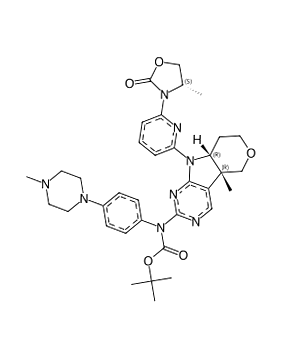 C[C@H]1COC(=O)N1c1cccc(N2c3nc(N(C(=O)OC(C)(C)C)c4ccc(N5CCN(C)CC5)cc4)ncc3[C@@]3(C)COCC[C@@H]23)n1